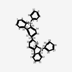 c1ccc(-n2c3ccccc3c3cc(-c4ccc5c6ccccc6n(-c6ccccc6)c5n4)ccc32)cc1